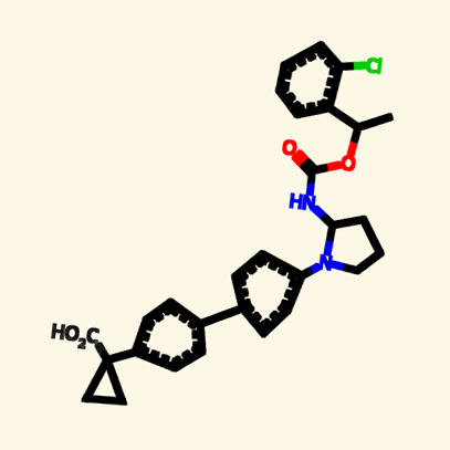 CC(OC(=O)NC1CCCN1c1ccc(-c2ccc(C3(C(=O)O)CC3)cc2)cc1)c1ccccc1Cl